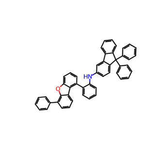 c1ccc(-c2cccc3c2oc2cccc(-c4ccccc4Nc4ccc5c(c4)-c4ccccc4C5(c4ccccc4)c4ccccc4)c23)cc1